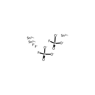 O=P([O-])([O-])F.O=P([O-])([O-])F.[F-].[F-].[Sn+2].[Sn+2].[Sn+2]